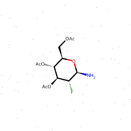 CC(=O)OC[C@H]1O[C@@H](N)[C@H](F)[C@@H](OC(C)=O)[C@@H]1OC(C)=O